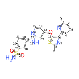 Cc1cccc(-c2nc(C)sc2Oc2ccnc(Nc3cccc(S(N)(=O)=O)c3)c2)n1